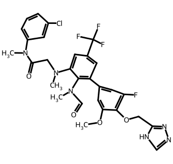 COc1cc(-c2cc(C(F)(F)F)cc(N(C)CC(=O)N(C)c3cccc(Cl)c3)c2N(C)C=O)cc(F)c1OCc1nnc[nH]1